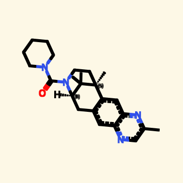 Cc1cnc2cc3c(cc2n1)[C@]1(C)CCN(C(=O)N2CCCCC2)[C@H](C3)C1(C)C